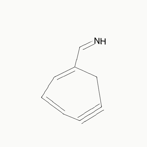 N=CC1=CC=CC#CC1